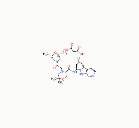 C[C@@H]1CN(C(=O)CN2CC(C)(C)OCC2C(=O)Nc2cc(Cl)cc3c2[nH]c2cnccc23)C[C@H](C)O1.O=C(O)CC(=O)O